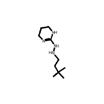 CC(C)(C)CCNNC1=NCCCN1